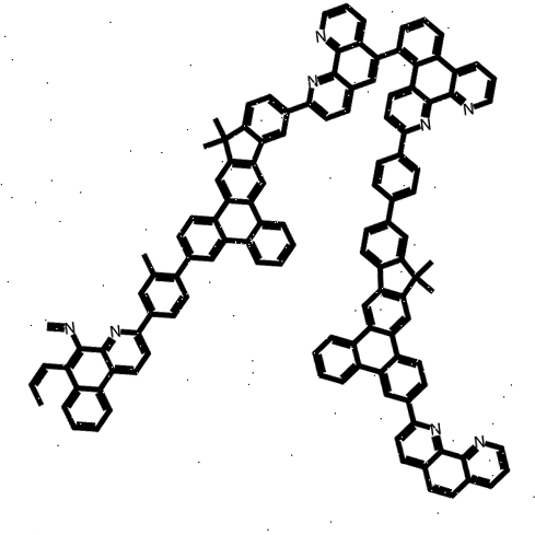 C=Nc1c(/C=C\C)c2ccccc2c2ccc(-c3ccc(-c4ccc5c(c4)c4ccccc4c4cc6c(cc54)C(C)(C)c4ccc(-c5ccc7cc(-c8cccc9c%10cccnc%10c%10nc(-c%11ccc(-c%12ccc%13c(c%12)C(C)(C)c%12cc%14c%15ccc(-c%16ccc%17ccc%18cccnc%18c%17n%16)cc%15c%15ccccc%15c%14cc%12-%13)cc%11)ccc%10c89)c8cccnc8c7n5)cc4-6)c(C)c3)nc12